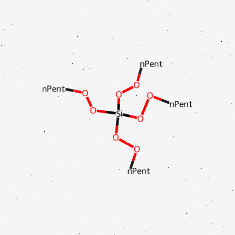 CCCCCOO[Si](OOCCCCC)(OOCCCCC)OOCCCCC